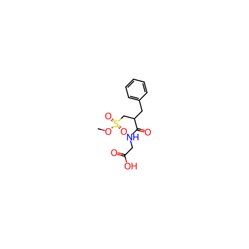 COS(=O)(=O)CC(Cc1ccccc1)C(=O)NCC(=O)O